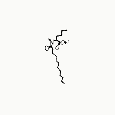 CCCCCCCCCCCC(=O)N(C)C(CCCC)C(=O)O